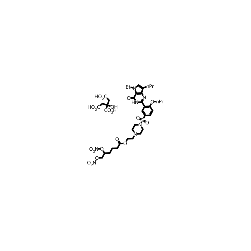 CCCOc1ccc(S(=O)(=O)N2CCN(CCOC(=O)CCCC(CO[N+](=O)[O-])O[N+](=O)[O-])CC2)cc1-c1nc2c(CCC)cn(CC)c2c(=O)[nH]1.O=C(O)CC(O)(CC(=O)O)C(=O)O